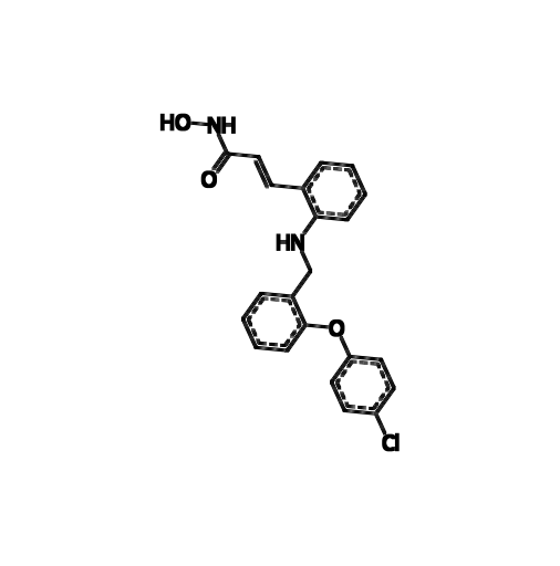 O=C(/C=C/c1ccccc1NCc1ccccc1Oc1ccc(Cl)cc1)NO